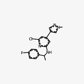 CC(Nc1cc(-c2cnn(C)c2)cc(Cl)n1)c1ccc(F)cc1